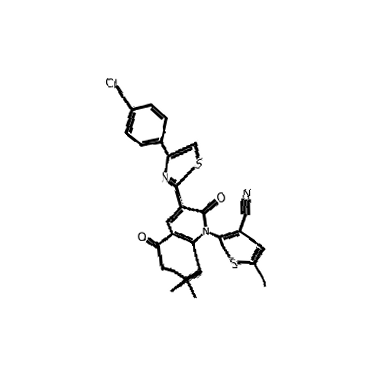 Cc1cc(C#N)c(-n2c3c(cc(-c4nc(-c5ccc(Cl)cc5)cs4)c2=O)C(=O)CC(C)(C)C3)s1